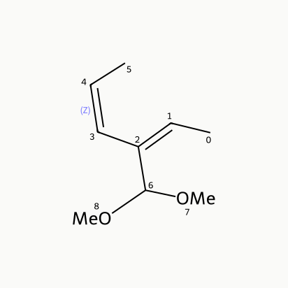 CC=C(/C=C\C)C(OC)OC